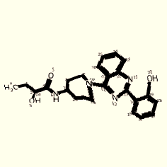 CC[C@H](O)C(=O)NC1CCN(c2nc(-c3ccccc3O)nc3ccccc23)CC1